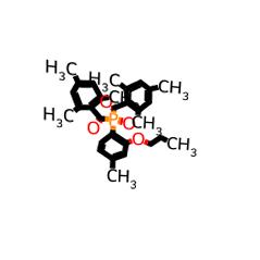 CCCOc1cc(C)ccc1P(=O)(C(=O)c1c(C)cc(C)cc1C)C(=O)c1c(C)cc(C)cc1C